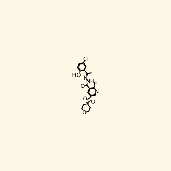 C/C(=N\NC(=O)c1cc(S(=O)(=O)N2CCOCC2)cnc1F)c1cc(Cl)ccc1O